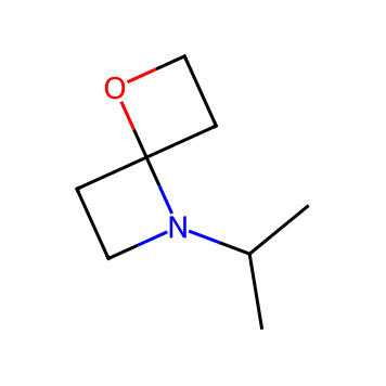 CC(C)N1CCC12CCO2